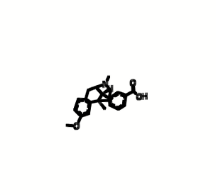 COc1ccc2c(c1)[C@@]1(C)CCN(C)C(C2)[C@@H]1c1cccc(C(=O)O)c1